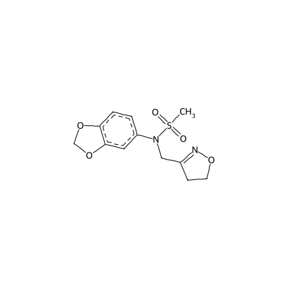 CS(=O)(=O)N(CC1=NOCC1)c1ccc2c(c1)OCO2